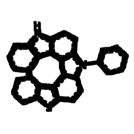 c1ccc(-n2c3ccc4[nH]c5cccc6c7cccc8sc9ccc2c(c9c87)c3c4c56)cc1